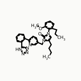 CCCCc1cn(-c2c(CCC)cccc2OC)c(=O)n1Cc1ccc(-c2ccccc2-c2nnn[nH]2)nc1